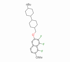 CCCCC1CCC(C2CCC(COc3cc4ccc(OC)c(F)c4c(F)c3F)CC2)CC1